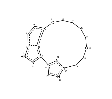 c1cc2[nH]nc3c2cc1OCCCCOCCn1ncc-3n1